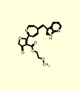 COCCOC(=O)C1=C(C2=NC=CC(=Cc3c[nH]c4ncccc34)C=C2)OCC1=O